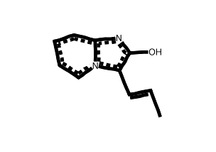 CC=Cc1c(O)nc2ccccn12